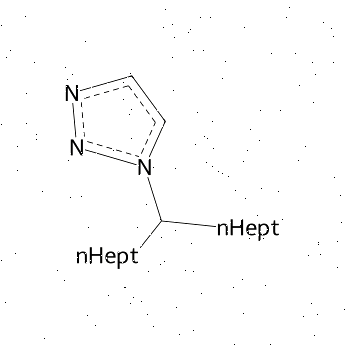 CCCCCCCC(CCCCCCC)n1ccnn1